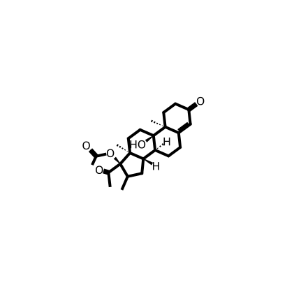 CC(=O)O[C@]1(C(C)=O)C(C)C[C@H]2[C@@H]3CCC4=CC(=O)CC[C@]4(C)[C@@]3(O)CC[C@@]21C